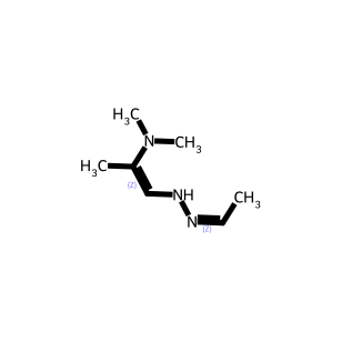 C/C=N\N/C=C(/C)N(C)C